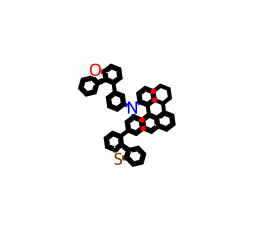 c1cc(-c2cccc3oc4ccccc4c23)cc(N(c2cccc(-c3cccc4sc5ccccc5c34)c2)c2ccccc2-c2cccc3cccc(C4CCCCC4)c23)c1